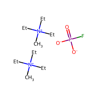 CC[N+](C)(CC)CC.CC[N+](C)(CC)CC.O=P([O-])([O-])F